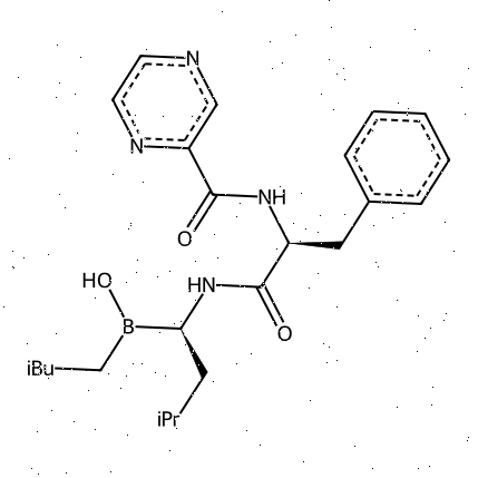 CCC(C)CB(O)[C@H](CC(C)C)NC(=O)[C@H](Cc1ccccc1)NC(=O)c1cnccn1